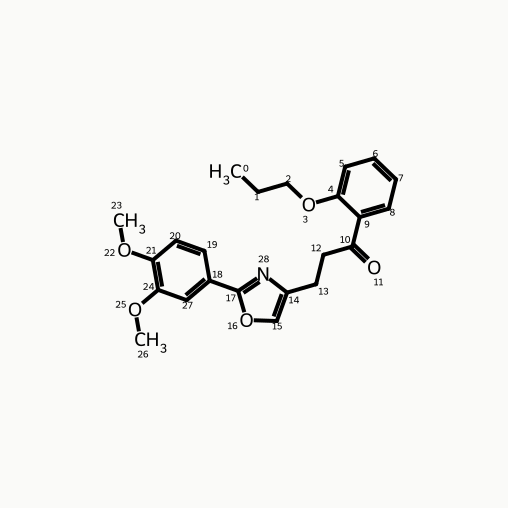 CCCOc1ccccc1C(=O)CCc1coc(-c2ccc(OC)c(OC)c2)n1